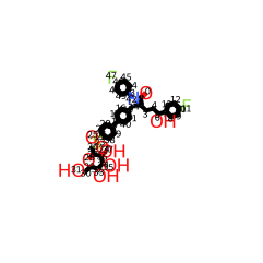 O=C1C(CCC(O)c2ccc(F)cc2)C(c2ccc(-c3ccc(S(=O)(=O)CC4OC(CO)C(O)C(O)C4O)cc3)cc2)N1c1ccc(F)cc1